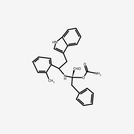 Cc1ccccc1C(Cc1c[nH]c2ccccc12)N[C@@](C=O)(Cc1ccccc1)OC(N)=O